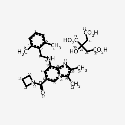 Cc1cccc(C)c1CNc1cc(C(=O)N2CCC2)cn2c(C)c(C)nc12.O=C(O)CC(O)(CC(=O)O)C(=O)O